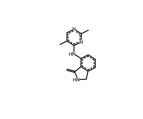 C=C1NCc2cccc(Nc3nc(C)ncc3C)c21